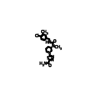 Cc1cc(CNC(=O)N(C)[C@@H]2CCCN(c3nnc(C(N)=O)s3)C2)ccc1Cl